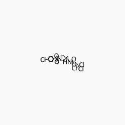 O=C(NC1CC12CCN(S(=O)(=O)c1ccc(Cl)cc1)CC2)OCC(Cl)(Cl)Cl